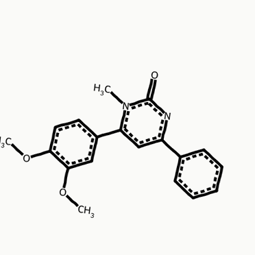 COc1ccc(-c2cc(-c3ccccc3)nc(=O)n2C)cc1OC